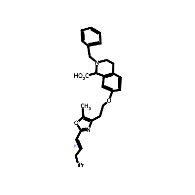 Cc1oc(/C=C/CC(C)C)nc1CCOc1ccc2c(c1)C(C(=O)O)N(Cc1ccccc1)CC2